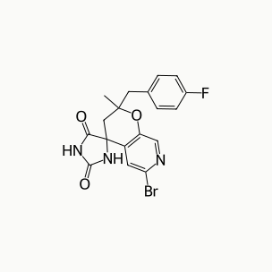 CC1(Cc2ccc(F)cc2)CC2(NC(=O)NC2=O)c2cc(Br)ncc2O1